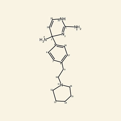 NC1=NC(N)(c2ccc(CCN3CCCCC3)cc2)C=CN1